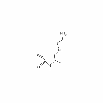 C=CC(=O)N(C)C(C)CNCCN